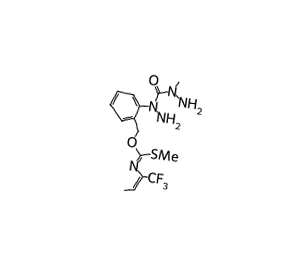 C/C=C(\N=C(\OCc1ccccc1N(N)C(=O)N(C)N)SC)C(F)(F)F